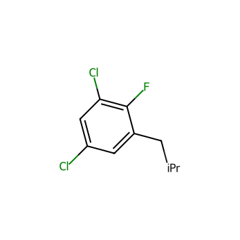 CC(C)Cc1cc(Cl)cc(Cl)c1F